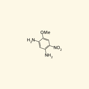 COc1cc([N+](=O)[O-])c(N)cc1N